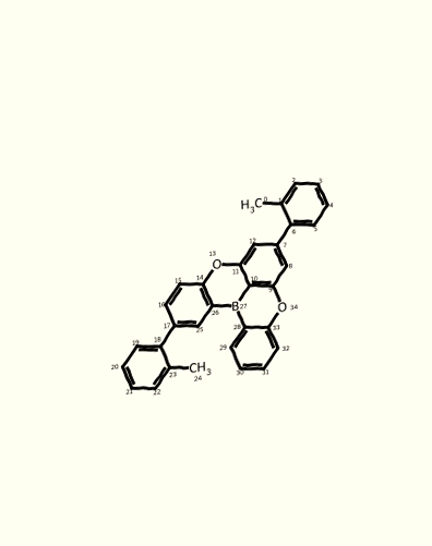 Cc1ccccc1-c1cc2c3c(c1)Oc1ccc(-c4ccccc4C)cc1B3c1ccccc1O2